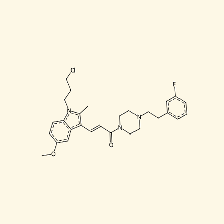 COc1ccc2c(c1)c(C=CC(=O)N1CCN(CCc3cccc(F)c3)CC1)c(C)n2CCCCl